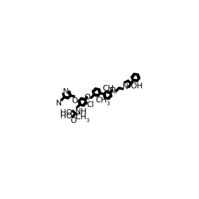 Cc1c(COc2cc(OCc3cncc(C#N)c3)c(CN[C@](C)(CO)C(=O)O)cc2Cl)cccc1-c1cccc(OCCCN2CCC(O)(c3ccccc3)C2)c1C